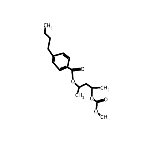 CCCCc1ccc(C(=O)OC(C)CC(C)OC(=O)OC)cc1